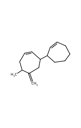 C=C1CC(C2C=CCCCC2)C=CCC1C